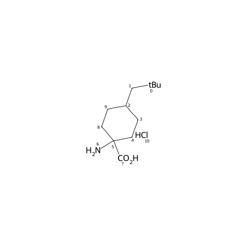 CC(C)(C)CC1CCC(N)(C(=O)O)CC1.Cl